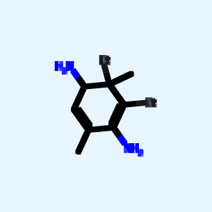 CCC1=C(N)C(C)=CC(N)C1(C)CC